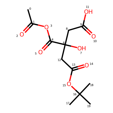 CC(=O)OC(=O)C(O)(CC(=O)O)CC(=O)OC(C)(C)C